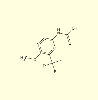 COc1ncc(NC(=O)O)cc1C(F)(F)F